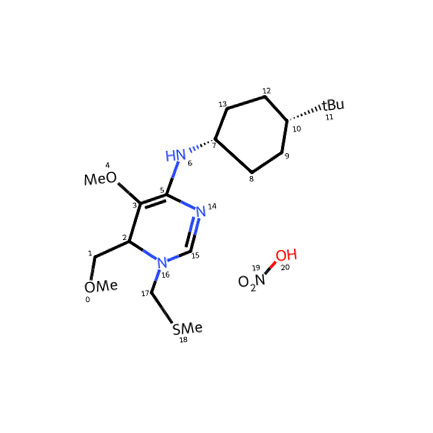 COCC1C(OC)=C(N[C@H]2CC[C@@H](C(C)(C)C)CC2)N=CN1CSC.O=[N+]([O-])O